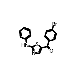 O=C(c1ccc(Br)cc1)c1cnc(Nc2ccccc2)s1